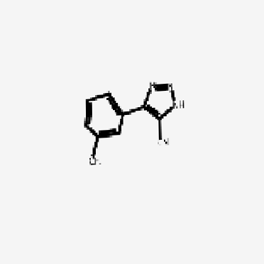 N#Cc1[nH]nnc1-c1cccc(C(F)(F)F)c1